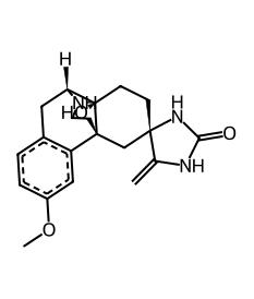 C=C1NC(=O)N[C@]12CC[C@@]1(O)[C@H]3Cc4ccc(OC)cc4[C@@]1(CCN3)C2